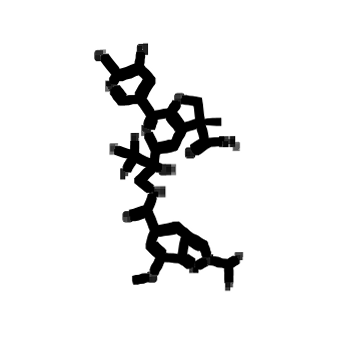 COc1cc(C(=O)NCC(O)(c2cc3c(c(-c4cnc(Cl)c(Cl)c4)n2)OC[C@]3(C)C(N)=O)C(F)(F)F)cc2cn(C(F)F)nc12